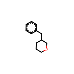 c1ccc(CC2CCCOC2)cc1